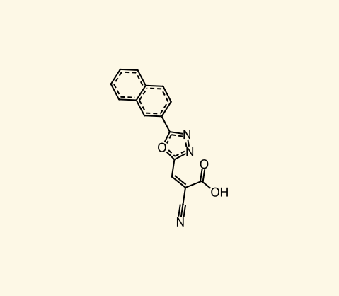 N#C/C(=C/c1nnc(-c2ccc3ccccc3c2)o1)C(=O)O